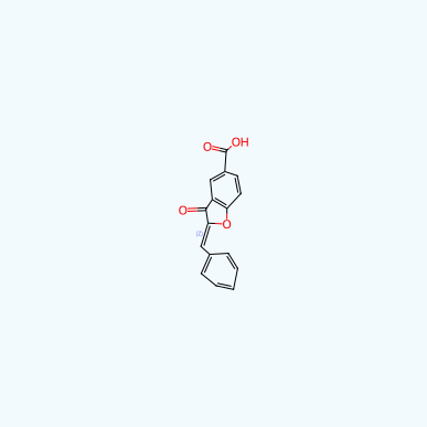 O=C(O)c1ccc2c(c1)C(=O)/C(=C/c1ccccc1)O2